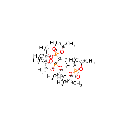 CC(C)OP(=O)(CCCC(P(=O)(OC(C)C)OC(C)C)P(=O)(OC(C)C)OC(C)C)OC(C)C